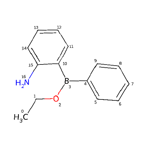 CCOB(c1ccccc1)c1ccccc1N